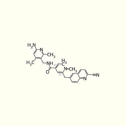 C=N/C(=C\C(=C/C)C(=O)NCc1c(C)cc(N)nc1C)Cc1ccc2nc(C#N)ccc2c1